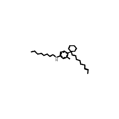 CCCCCCCCCC1(c2ccc(NCCCCCCCC)cc2C)CCCCC1